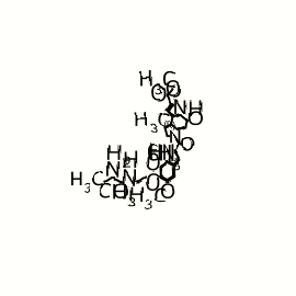 COC(=O)c1cc2c([nH]1)C(=O)C=C1N(C(=O)c3cc4cc(OC)c(OCCNC(=O)C(N)C(C)C)c(OC)c4[nH]3)CC[C@@]12C